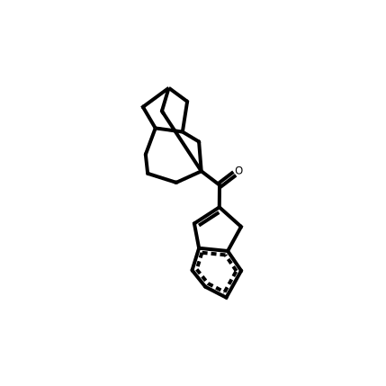 O=C(C1=Cc2ccccc2C1)C12CCCC3CC(CC3C1)C2